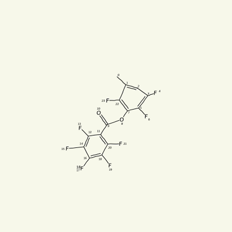 Cc1cc(F)c(F)c(OC(=O)c2c(F)c(F)c([18F])c(F)c2F)c1F